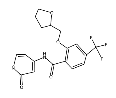 O=C(Nc1cc[nH]c(=O)c1)c1ccc(C(F)(F)F)cc1OCC1CCCO1